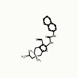 CC(C)C[N+]1(C)CCc2c(sc(NC(=O)Nc3ccc4ccccc4c3)c2C=O)C1